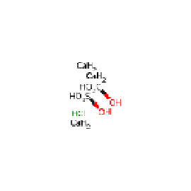 Cl.O=C(O)O.O=S(=O)(O)O.[CaH2].[CaH2].[CaH2]